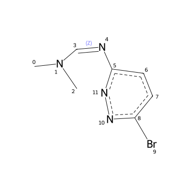 CN(C)/C=N\c1ccc(Br)nn1